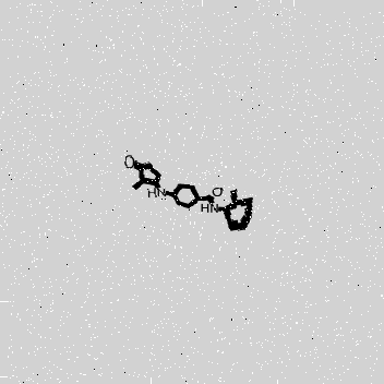 CC1=C(NC2CCC(C(=O)Nc3ccccc3C)CC2)CCC1=O